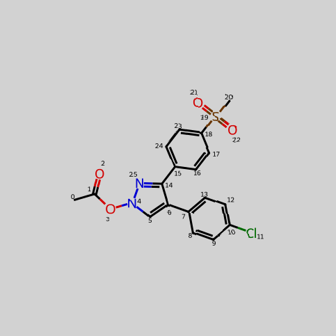 CC(=O)On1cc(-c2ccc(Cl)cc2)c(-c2ccc(S(C)(=O)=O)cc2)n1